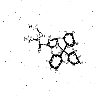 CON(C)C(=O)c1cn(C(c2ccccc2)(c2ccccc2)c2ccccc2)cn1